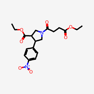 CCOC(=O)CCC(=O)N1CC(C(=O)OCC)C(c2ccc([N+](=O)[O-])cc2)C1